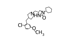 CCOc1ccc(Cl)c(CC2CCN(CC3CN(C4CCCCC4)C(=O)N3)CC2)c1